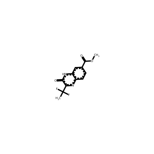 COC(=O)c1ccc2nc(C(C)(F)F)c(=O)[nH]c2c1